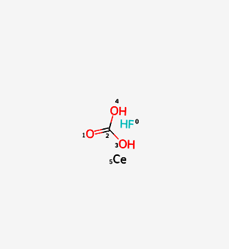 F.O=C(O)O.[Ce]